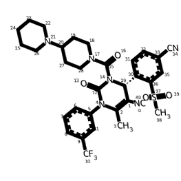 [C-]#[N+]C1=C(C)N(c2cccc(C(F)(F)F)c2)C(=O)N(C(=O)N2CCC(N3CCCCC3)CC2)[C@@H]1c1ccc(C#N)cc1S(C)(=O)=O